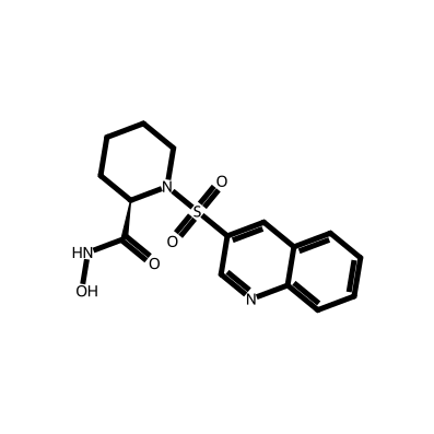 O=C(NO)[C@H]1CCCCN1S(=O)(=O)c1cnc2ccccc2c1